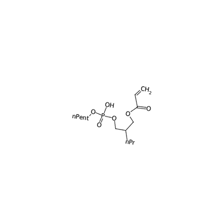 C=CC(=O)OCC(CCC)COP(=O)(O)OCCCCC